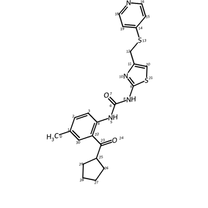 Cc1ccc(NC(=O)Nc2nc(CSc3ccncc3)cs2)c(C(=O)C2CCCC2)c1